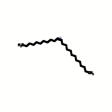 CCCCCCCCCC/[C]=C\CCCCCCCCCCCC